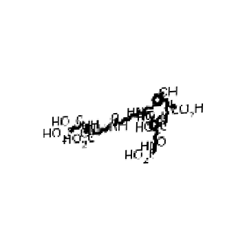 O=C(O)CC[C@H](NC(=O)N[C@@H](CCCCNC(=O)CCCCCNC(=O)CCc1ccc(O)c(CN(CCN(CC(=O)O)Cc2cc(CCC(=O)NCC(=O)O)ccc2O)CC(=O)O)c1)C(=O)O)C(=O)O